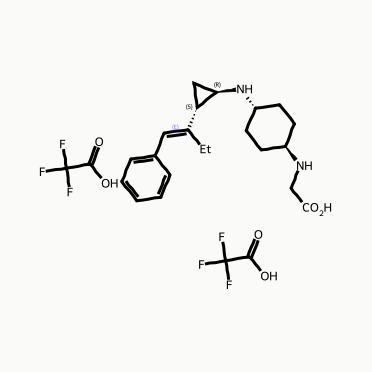 CC/C(=C\c1ccccc1)[C@@H]1C[C@H]1N[C@H]1CC[C@H](NCC(=O)O)CC1.O=C(O)C(F)(F)F.O=C(O)C(F)(F)F